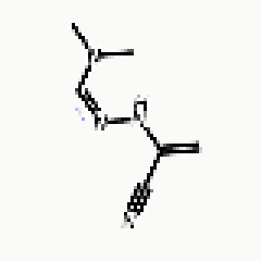 C=C(C#N)N/N=C\N(C)C